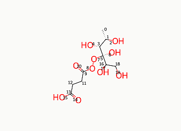 C[C@H](O)[C@@H](O)[C@](O)(OOC(=O)CCC(=O)O)[C@H](O)CO